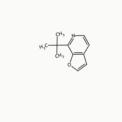 CC(C)(C)c1nccc2ccoc12